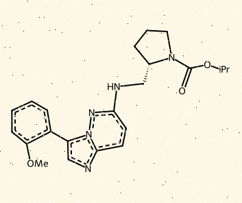 COc1ccccc1-c1cnc2ccc(NC[C@@H]3CCCN3C(=O)OC(C)C)nn12